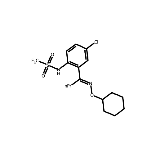 CCC/C(=N\OC1CCCCC1)c1cc(Cl)ccc1NS(=O)(=O)C(F)(F)F